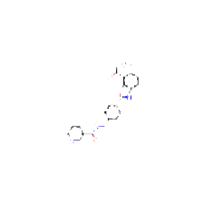 COC(=O)c1cccc2nc(-c3ccc(CNC(=O)c4cccnc4)cc3)oc12